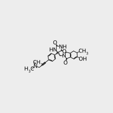 CC1CC2=C(C=C1O)C(=O)N(C[C@@]1(c3ccc(C#CCN(C)C)cc3)NC(=O)NC1=O)C2